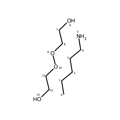 CCCCCN.OCCOOCCO